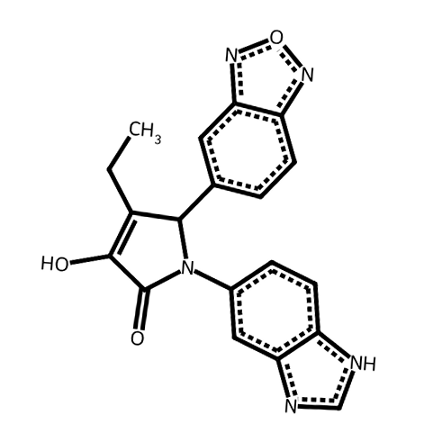 CCC1=C(O)C(=O)N(c2ccc3[nH]cnc3c2)C1c1ccc2nonc2c1